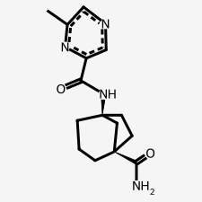 Cc1cncc(C(=O)N[C@@]23CCC[C@@](C(N)=O)(CC2)C3)n1